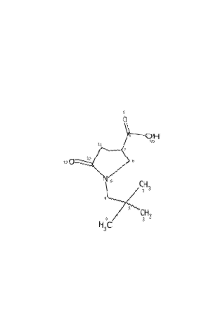 CC(C)(C)CN1CC(C(=O)O)CC1=O